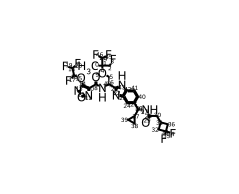 CC(CF)(OC[C@H](NC(=O)c1nonc1OC(F)C(F)F)c1nc2cc([C@H](NC(=O)CC3CC(F)(F)C3)C3CC3)ccc2[nH]1)C(F)F